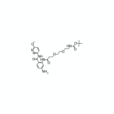 COc1ccc(NC(=O)c2ccc(N)cc2NC(=O)CCOCCOCCNC(=O)OC(C)(C)C)nn1